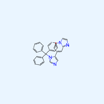 c1ccc(C(c2ccccc2)(c2ccccc2)n2cncc2-c2ccn3ccnc3c2)cc1